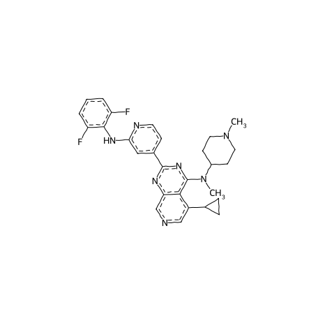 CN1CCC(N(C)c2nc(-c3ccnc(Nc4c(F)cccc4F)c3)nc3cncc(C4CC4)c23)CC1